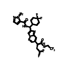 CC(C)n1nccc1C(=O)NC(c1cn2ncc(C(CC(F)F)C(=O)NCC(F)(F)F)cc2n1)C1CCC(F)(F)CC1